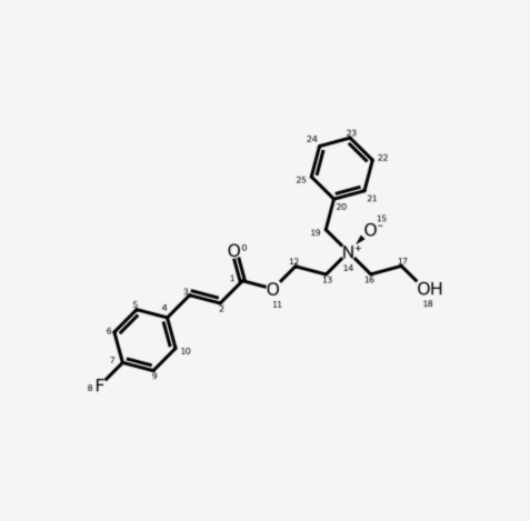 O=C(/C=C/c1ccc(F)cc1)OCC[N@@+]([O-])(CCO)Cc1ccccc1